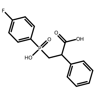 O=C(O)C(CP(=O)(O)c1ccc(F)cc1)c1ccccc1